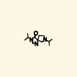 CC(C)N1CCC2(C1)N=CN(C(C)C)C2=O